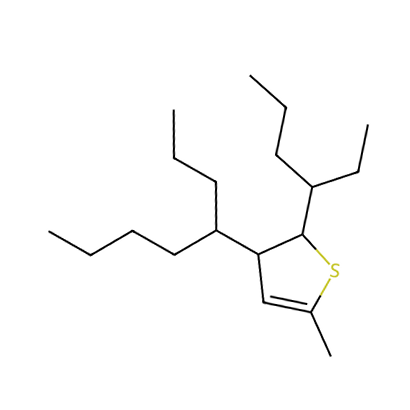 CCCCC(CCC)C1C=C(C)SC1C(CC)CCC